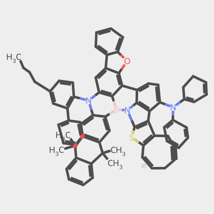 CCCCc1ccc(N2c3cc4c(cc3B3c5c2cc2c(oc6ccccc62)c5-c2ccc(N(C5=CC=CCC5)c5ccccc5)c5c6c7c(sc6n3c25)/C=C\CC#CC7)C(C)(C)c2ccccc2C4(C)C)c(-c2ccccc2)c1